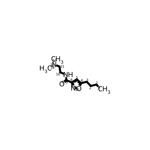 CCCCc1cc(C(=O)NCCN(C)C)no1